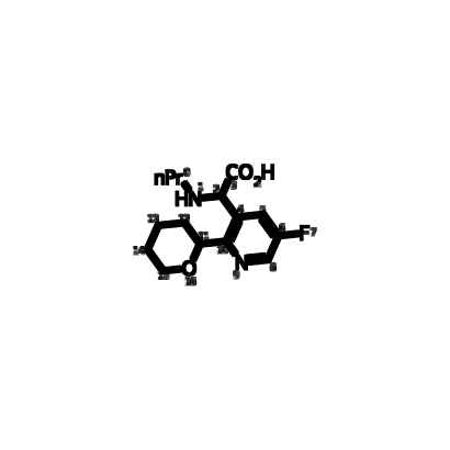 CCCNC(C(=O)O)c1cc(F)cnc1C1CCCCO1